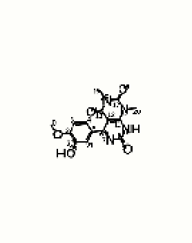 COc1ccc(-c2nc(=O)[nH]c3c2c(=O)n(C)c(=O)n3C)cc1O